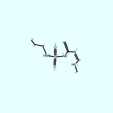 C=C(/N=C\NC)NS(=O)(=O)NCCC